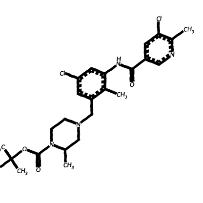 Cc1ncc(C(=O)Nc2cc(Cl)cc(CN3CCN(C(=O)OC(C)(C)C)C(C)C3)c2C)cc1Cl